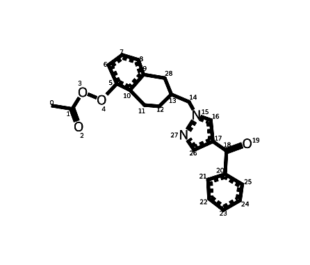 CC(=O)OOc1cccc2c1CCC(Cn1cc(C(=O)c3ccccc3)cn1)C2